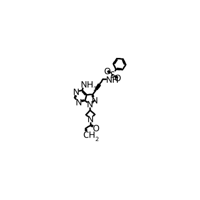 C=CC(=O)N1CC(n2nc(C#CCNS(=O)(=O)c3ccccc3)c3c(N)ncnc32)C1